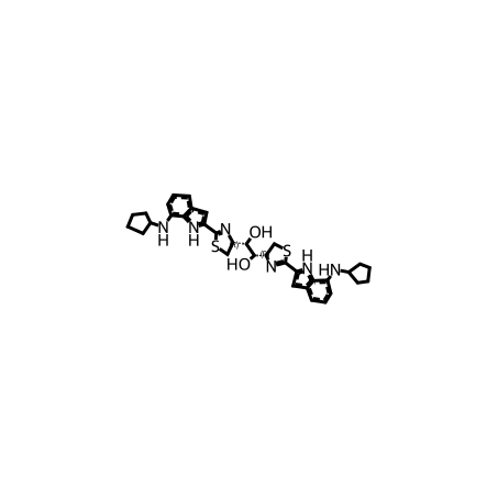 OC(C(O)[C@@H]1CSC(c2cc3cccc(NC4CCCC4)c3[nH]2)=N1)[C@@H]1CSC(c2cc3cccc(NC4CCCC4)c3[nH]2)=N1